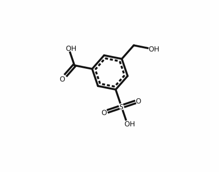 O=C(O)c1cc(CO)cc(S(=O)(=O)O)c1